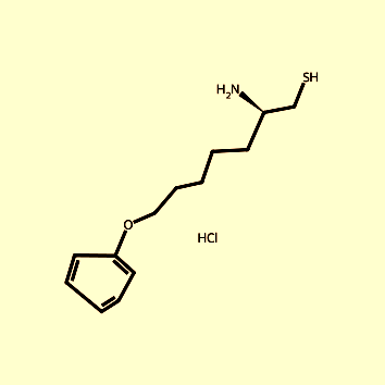 Cl.N[C@@H](CS)CCCCCOc1ccccc1